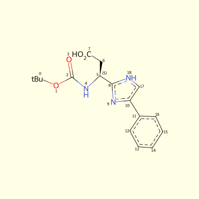 CC(C)(C)OC(=O)N[C@@H](CC(=O)O)c1nc(-c2ccccc2)c[nH]1